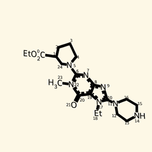 CCOC(=O)C1CCCN(c2nc3nc(N4CCNCC4)n(CC)c3c(=O)n2C)C1